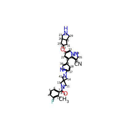 Cc1c(F)cccc1C(=O)N1CC2(C1)CN(c1ccc(-c3cc(OC4CC5CNCC5C4)cn4ncc(C#N)c34)cn1)C2